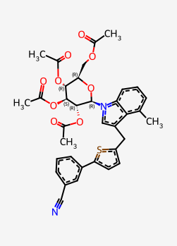 CC(=O)OC[C@H]1O[C@@H](n2cc(Cc3ccc(-c4cccc(C#N)c4)s3)c3c(C)cccc32)[C@H](OC(C)=O)[C@@H](OC(C)=O)[C@@H]1OC(C)=O